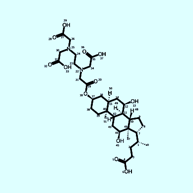 C[C@H](CCC(=O)O)[C@H]1CC[C@H]2[C@@H]3[C@H](O)C[C@@H]4C[C@H](OC(=O)CN(CCN(CC(=O)O)CC(=O)O)CC(=O)O)CC[C@]4(C)[C@H]3C[C@H](O)[C@]12C